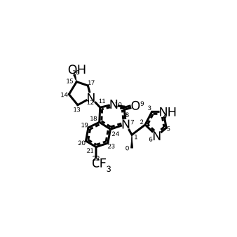 C[C@H](c1c[nH]cn1)n1c(=O)nc(N2CC[C@@H](O)C2)c2ccc(C(F)(F)F)cc21